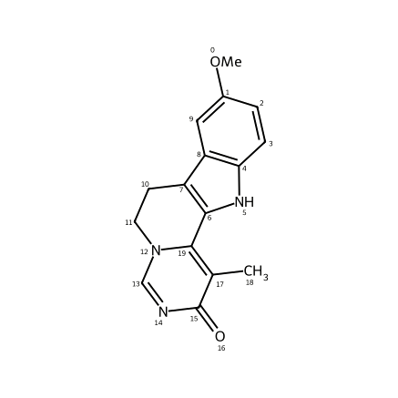 COc1ccc2[nH]c3c(c2c1)CCn1cnc(=O)c(C)c1-3